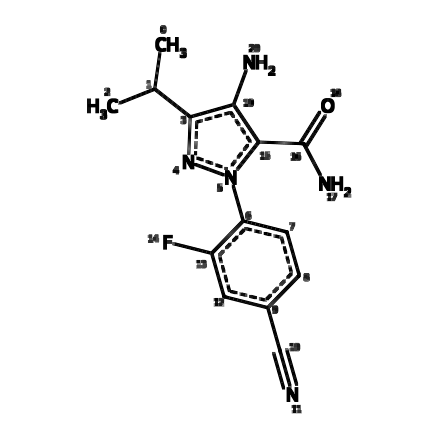 CC(C)c1nn(-c2ccc(C#N)cc2F)c(C(N)=O)c1N